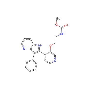 CC(C)(C)OC(=O)NCCOc1cnccc1-c1[nH]c2cccnc2c1-c1ccccc1